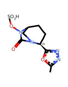 Cc1nnc([C@@H]2CCC3CN2C(=O)N3OS(=O)(=O)O)o1